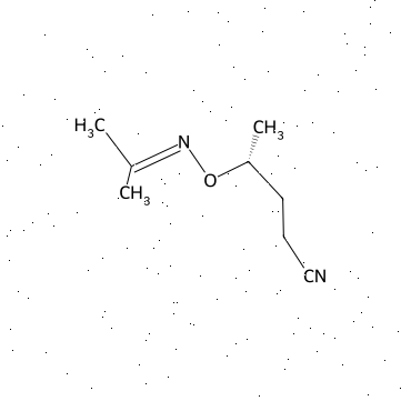 CC(C)=NO[C@H](C)CCC#N